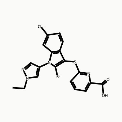 CCn1cc(-n2c(Br)c(Sc3cccc(C(=O)O)n3)c3ccc(Cl)cc32)cn1